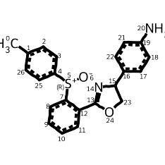 Cc1ccc([S@+]([O-])c2ccccc2C2=NC(c3ccc(N)cc3)CO2)cc1